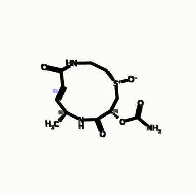 C[C@H]1/C=C/C(=O)NCC[S+]([O-])C[C@H](OC(N)=O)C(=O)N1